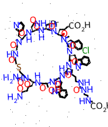 CC(C)C[C@@H]1NC(=O)[C@H](CC(N)=O)NC(=O)[C@H](Cc2cccnc2)N(C)C(=O)[C@@H](C)NC(=O)CSC[C@@H](C(N)=O)NC(=O)[C@H](CCCC(N)=O)NC(=O)[C@H]([C@@H](C)O)NC(=O)[C@H](Cc2cn(C)c3ccccc23)NC(=O)[C@H](CCCCNC(=O)NCCNCC(=O)O)NC(=O)[C@H](Cc2cn(C)c3ccccc23)NC(=O)[C@H](Cc2ccc(Cl)cc2)N(C)C(=O)[C@H](CCCC(=O)O)NC1=O